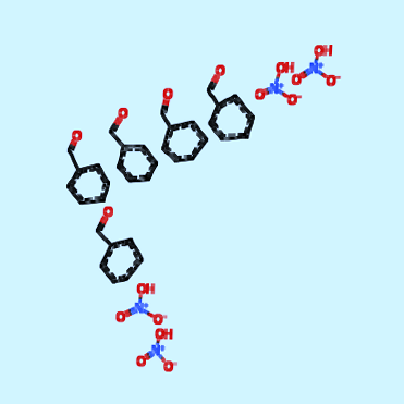 O=Cc1ccccc1.O=Cc1ccccc1.O=Cc1ccccc1.O=Cc1ccccc1.O=Cc1ccccc1.O=[N+]([O-])O.O=[N+]([O-])O.O=[N+]([O-])O.O=[N+]([O-])O